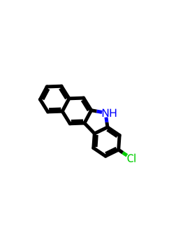 Clc1ccc2c(c1)[nH]c1cc3ccccc3cc12